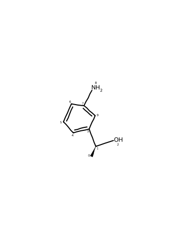 C[C@H](O)c1cccc(N)c1